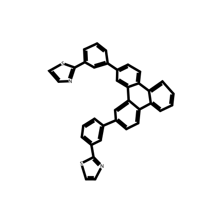 c1cc(-c2ccc3c4ccccc4c4ccc(-c5cccc(-c6nccs6)c5)cc4c3c2)cc(-c2nccs2)c1